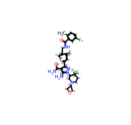 Cc1ccc(F)cc1C(=O)NCc1ccc(-c2nn(C3CN(C4COC4)CCC3(F)F)c(N)c2C(N)=O)cc1F